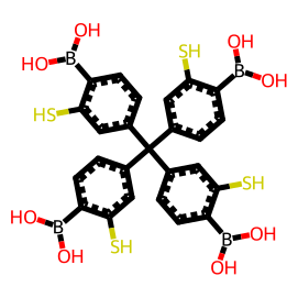 OB(O)c1ccc(C(c2ccc(B(O)O)c(S)c2)(c2ccc(B(O)O)c(S)c2)c2ccc(B(O)O)c(S)c2)cc1S